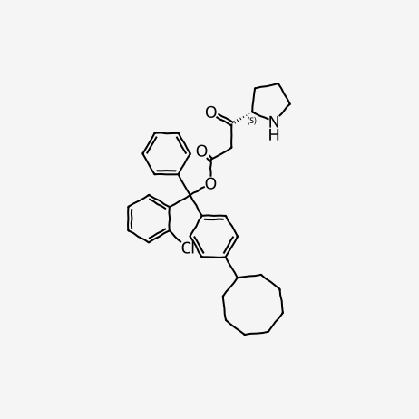 O=C(CC(=O)[C@@H]1CCCN1)OC(c1ccccc1)(c1ccc(C2CCCCCCC2)cc1)c1ccccc1Cl